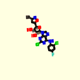 CCc1cc([C@H]2O[C@@H](n3cnc4c(Nc5ccc(F)cc5Cl)nc(Cl)nc43)[C@H](O)[C@@H]2O)on1